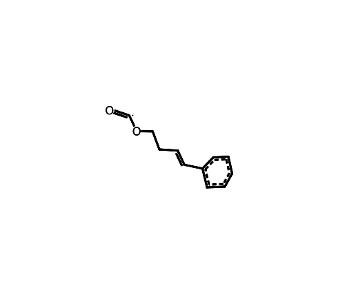 O=[C]OCC/C=C/c1ccccc1